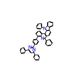 c1ccc(-c2cc(-c3ccccc3)nc(-c3ccc(-c4cccc5c4nc(-c4ccccc4)c4ccc6c7ccccc7n(-c7ccccc7)c6c45)cc3)n2)cc1